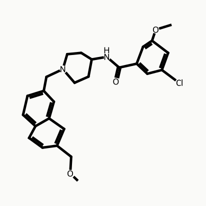 COCc1ccc2ccc(CN3CCC(NC(=O)c4cc(Cl)cc(OC)c4)CC3)cc2c1